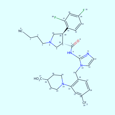 N#CCCCN1C[C@@H](C(=O)Nc2nccn2Cc2ccc(C(F)(F)F)cc2N2CCC(C(=O)O)CC2)[C@H](c2ccc(F)cc2F)C1